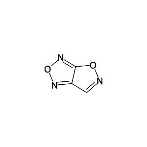 c1noc2nonc12